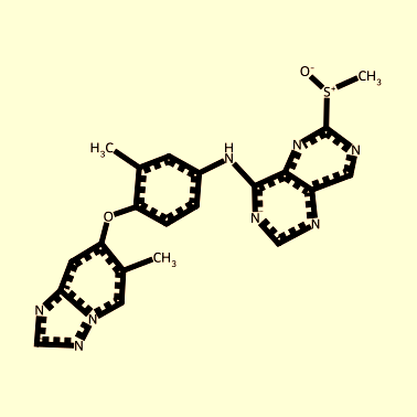 Cc1cc(Nc2ncnc3cnc([S+](C)[O-])nc23)ccc1Oc1cc2ncnn2cc1C